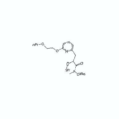 CCCOCCOc1cccc(CC(OCCC)C(=O)N(C)OC)n1